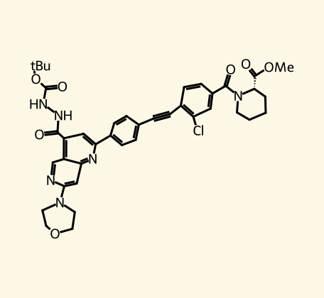 COC(=O)[C@@H]1CCCCN1C(=O)c1ccc(C#Cc2ccc(-c3cc(C(=O)NNC(=O)OC(C)(C)C)c4cnc(N5CCOCC5)cc4n3)cc2)c(Cl)c1